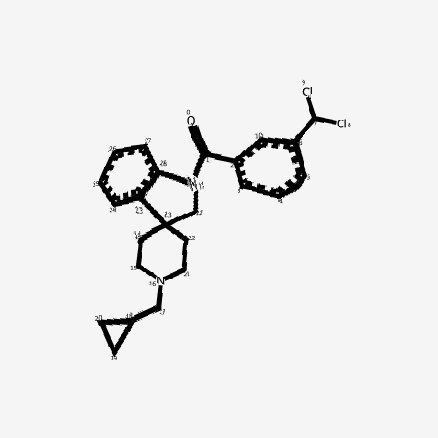 O=C(c1cccc(C(Cl)Cl)c1)N1CC2(CCN(CC3CC3)CC2)c2ccccc21